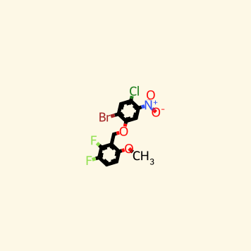 COc1ccc(F)c(F)c1COc1cc([N+](=O)[O-])c(Cl)cc1Br